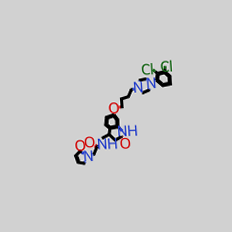 O=C(CN1CC=CC1=O)NCC1CC(=O)Nc2cc(OCCCCN3CCN(c4cccc(Cl)c4Cl)CC3)ccc21